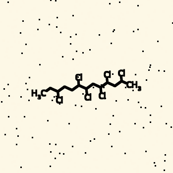 CCC(Cl)CCC(Cl)C(Cl)CC(Cl)C(Cl)CC(C)Cl